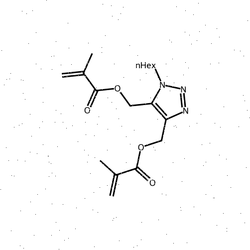 C=C(C)C(=O)OCc1nnn(CCCCCC)c1COC(=O)C(=C)C